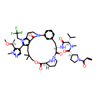 C=CC(=O)N1CC[C@H](C(=O)N(C)[C@H](C(=O)N[C@H]2Cc3cccc(c3)N3CCc4c(c(c(-c5cnn(C)c5[C@H](C)OC)n4CC(F)(F)F)CC(C)(C)COC(=O)[C@@H]4CCCN(N4)C2=O)C3=O)C(C)C)C1